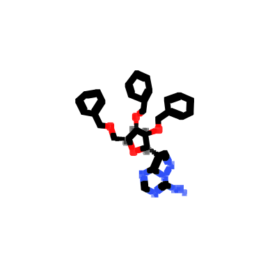 Nc1ncnc2c([C@@H]3O[C@H](COCc4ccccc4)[C@H](OCc4ccccc4)[C@H]3OCc3ccccc3)cnn12